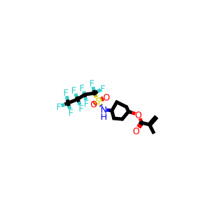 C=C(C)C(=O)OC1CCC(NS(=O)(=O)C(F)(F)C(F)(F)C(F)(F)C(F)(F)F)CC1